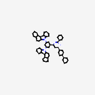 N/C(=N\C(=C/Cc1ccc(-c2ccccc2)cc1)c1cc(-n2c3ccccc3c3c4ccccc4ccc32)cc(-n2c3ccccc3c3c4ccccc4ccc32)c1)c1ccccc1